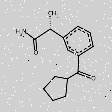 C[C@@H](C(N)=O)c1cccc(C(=O)C2CCCC2)c1